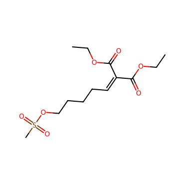 CCOC(=O)C(=CCCCCOS(C)(=O)=O)C(=O)OCC